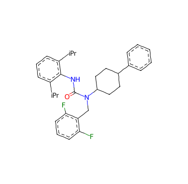 CC(C)c1cccc(C(C)C)c1NC(=O)N(Cc1c(F)cccc1F)C1CCC(c2ccccc2)CC1